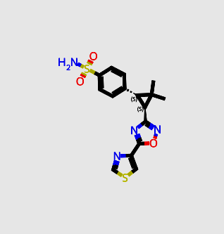 CC1(C)[C@@H](c2ccc(S(N)(=O)=O)cc2)[C@@H]1c1noc(-c2cscn2)n1